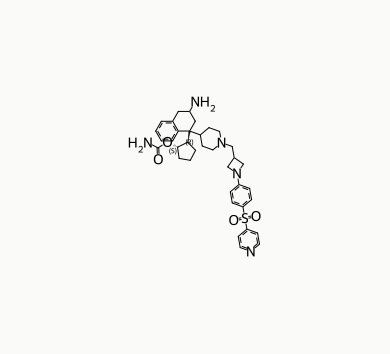 NC(=O)O[C@H]1CCC[C@@H]1C1(C2CCN(CC3CN(c4ccc(S(=O)(=O)c5ccncc5)cc4)C3)CC2)CC(N)Cc2ccccc21